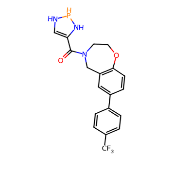 O=C(C1=CNPN1)N1CCOc2ccc(-c3ccc(C(F)(F)F)cc3)cc2C1